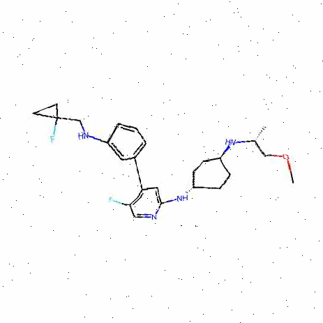 COC[C@@H](C)N[C@H]1CC[C@H](Nc2cc(-c3cccc(NCC4(F)CC4)c3)c(F)cn2)CC1